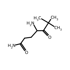 CC(C)(C)C(=O)C(N)CCC(N)=O